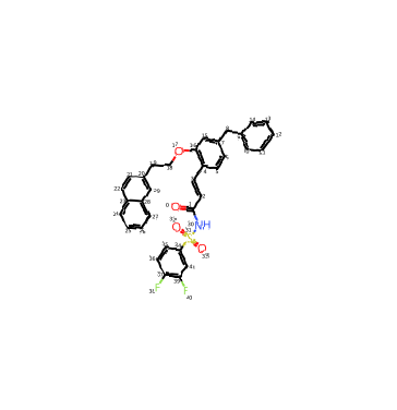 O=C(C=Cc1ccc(Cc2ccccc2)cc1OCCc1ccc2ccccc2c1)NS(=O)(=O)c1ccc(F)c(F)c1